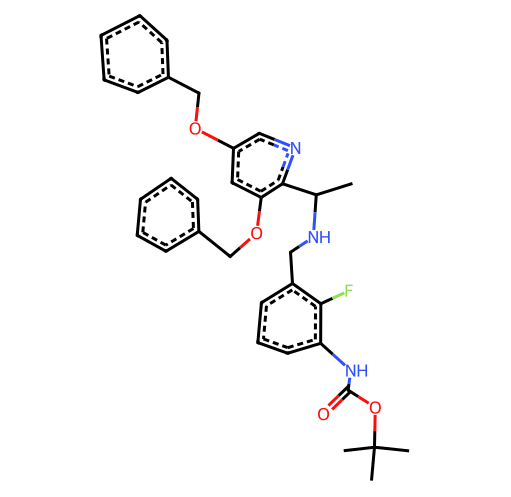 CC(NCc1cccc(NC(=O)OC(C)(C)C)c1F)c1ncc(OCc2ccccc2)cc1OCc1ccccc1